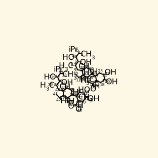 CC(C)[C@H](C)[C@@H](O)[C@H](O)[C@@H](C)[C@H]1CC[C@H]2[C@@H]3CC(=O)[C@H]4C[C@H](O)[C@H](O)C[C@]4(C)[C@H]3CC[C@]12C.CC(C)[C@H](C)[C@@H](O)[C@H](O)[C@@H](C)[C@H]1CC[C@H]2[C@@H]3COC(=O)[C@H]4C[C@H](O)[C@H](O)C[C@]4(C)[C@H]3CC[C@]12C